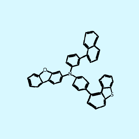 c1cc(-c2cccc3ccccc23)cc(N(c2ccc(-c3cccc4sc5ccccc5c34)cc2)c2ccc3c(c2)oc2ccccc23)c1